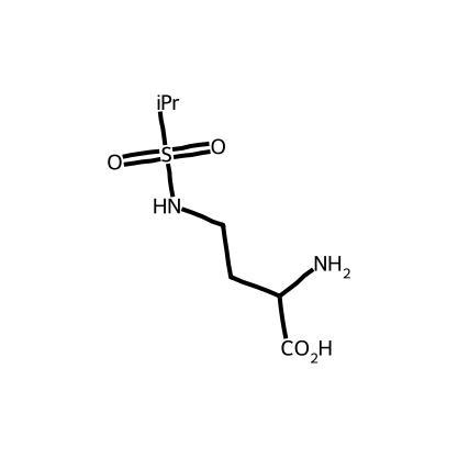 CC(C)S(=O)(=O)NCCC(N)C(=O)O